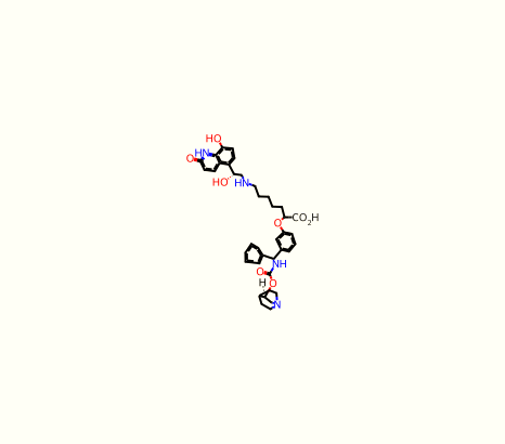 O=C(NC(c1ccccc1)c1cccc(OC(CCCCCNC[C@H](O)c2ccc(O)c3[nH]c(=O)ccc23)C(=O)O)c1)O[C@H]1CN2CCC1CC2